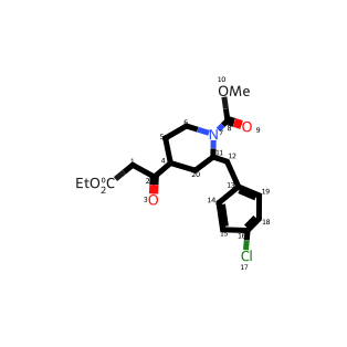 CCOC(=O)CC(=O)C1CCN(C(=O)OC)C(Cc2ccc(Cl)cc2)C1